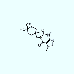 Cn1cnc2c1c(=O)n(CC1(C)CCC(O)(C(F)(F)F)CC1)c(=O)n2C